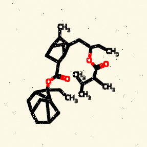 CCC(CC1C(C)C2CC(C(=O)OC3(CC)C4CC5CC(C4)CC3C5)C1C2)OC(=O)C(C)C(C)C